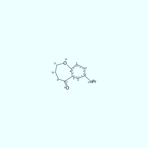 CCCc1ccc2c(c1)C(=O)CCCO2